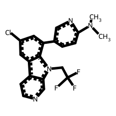 CN(C)c1ccc(-c2cc(Cl)cc3c4ccncc4n(CC(F)(F)F)c23)cn1